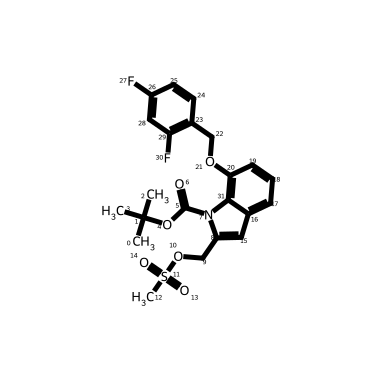 CC(C)(C)OC(=O)n1c(COS(C)(=O)=O)cc2cccc(OCc3ccc(F)cc3F)c21